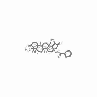 CC(C)C1=C2[C@H]3CC[C@@H]4[C@@]5(C)CCC(=O)C(C)(C)[C@@H]5CC[C@@]4(C)[C@]3(C)CC[C@@]2(COC(=O)c2ccccc2)CC1=O